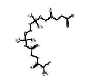 CCC(=O)CCC(=O)COC(C)(C)CCOC(C)(C)CC(=O)CCC(=O)C(C)I